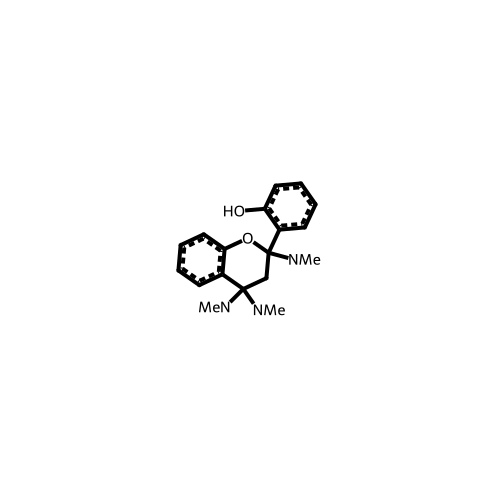 CNC1(NC)CC(NC)(c2ccccc2O)Oc2ccccc21